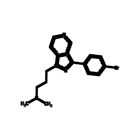 CN(C)CCCn1nc(-c2ccc(Br)cc2)c2cnccc21